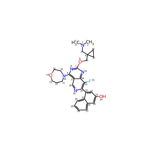 CN(C)CC1(COc2nc(N3CCCOCC3)c3cnc(-c4cc(O)cc5ccccc45)c(F)c3n2)CC1